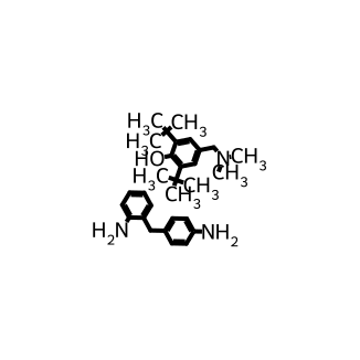 CN(C)Cc1cc(C(C)(C)C)c(O)c(C(C)(C)C)c1.Nc1ccc(Cc2ccccc2N)cc1